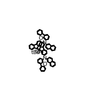 CC(C)(C)C1(C2(C(C)(C)C)c3ccccc3-c3ccc(N(c4ccc5ccccc5c4)c4cccc5c4oc4ccccc45)cc32)c2ccccc2-c2ccc(N(c3ccc4ccccc4c3)c3cccc4c3oc3ccccc34)cc21